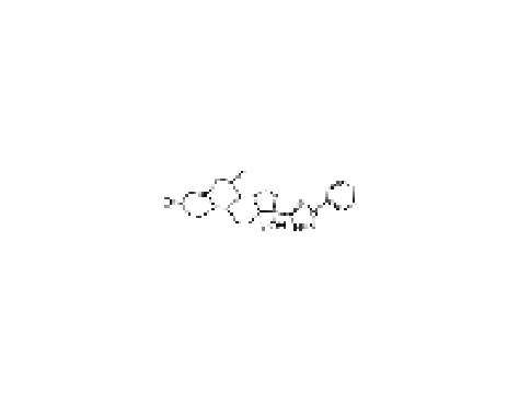 C[C@@H]1CC2=CC(=O)CCC2C2CC[C@@]3(C)C(CC[C@@]3(O)c3cn(-c4ccccc4)nn3)C21